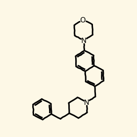 c1ccc(CC2CCN(Cc3ccc4cc(N5CCOCC5)ccc4c3)CC2)cc1